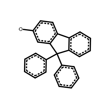 [O]c1ccc2c(c1)C(c1ccccc1)(c1ccccc1)c1ccccc1-2